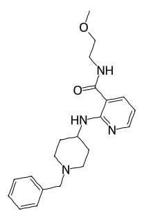 COCCNC(=O)c1cccnc1NC1CCN(Cc2ccccc2)CC1